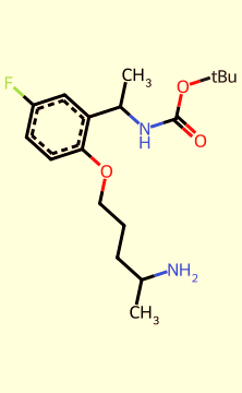 CC(N)CCCOc1ccc(F)cc1C(C)NC(=O)OC(C)(C)C